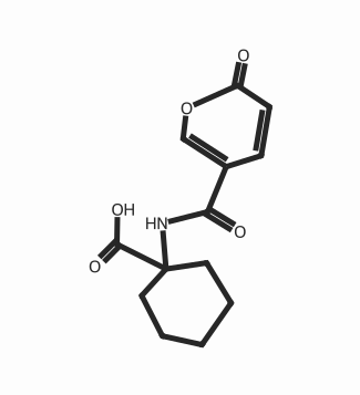 O=C(NC1(C(=O)O)CCCCC1)c1ccc(=O)oc1